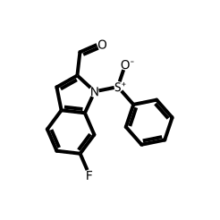 O=Cc1cc2ccc(F)cc2n1[S+]([O-])c1ccccc1